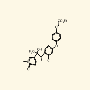 CCOC(=O)COc1ccc(Oc2ccc(C(C)C(O)(c3ccc(=O)n(C)c3)C(F)(F)F)c(Cl)c2)cc1